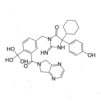 N=C1NC(c2ccc(O)cc2)(C2CCCCC2)C(=O)N1Cc1ccc(C(O)(O)O)c(C(=O)N2Cc3nccnc3C2)c1